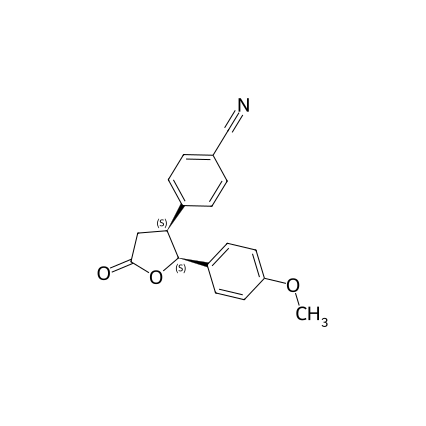 COc1ccc([C@H]2OC(=O)C[C@H]2c2ccc(C#N)cc2)cc1